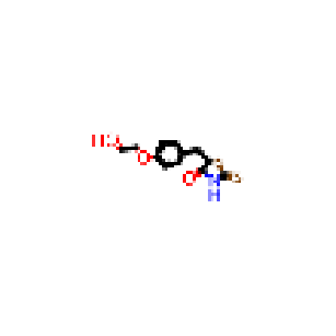 O=C1NC(=S)SC1Cc1ccc(OCCO)cc1